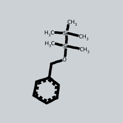 C[Si](C)(C)[Si](C)(C)OCc1ccccc1